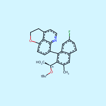 Cc1cc2ccc(F)cc2c(-c2ccc3c4c(ccnc24)CCO3)c1[C@@H](OC(C)(C)C)C(=O)O